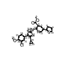 COC(=O)c1cc(-c2cccs2)cnc1Nc1nc(C2CC2)c(-c2ccc(OC)c(Cl)c2)s1